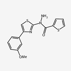 COc1cccc(-c2csc(N(N)C(=O)c3cccs3)n2)c1